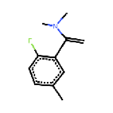 C=C(c1cc(C)ccc1F)N(C)C